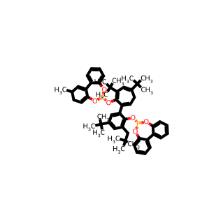 CC1C=c2c(op(OC3=C(C(C)(C)C)C=C(C(C)(C)C)CC=C3c3cc(C(C)(C)C)cc(CC(C)(C)C)c3Op3oc4ccccc4c4ccccc4o3)oc3ccccc23)=CC1